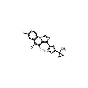 Cc1c2c(-c3nc(C4(C)CC4)no3)ncn2c2ccc(Cl)cc2[n+]1[O-]